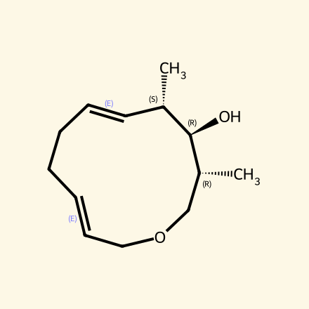 C[C@@H]1COC/C=C/CC/C=C/[C@H](C)[C@H]1O